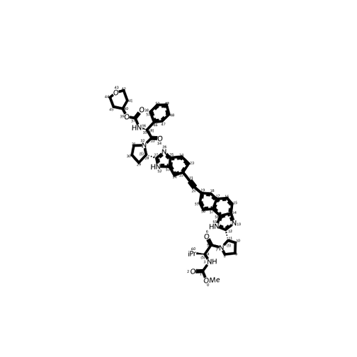 COC(=O)N[C@H](C(=O)N1CCC[C@H]1c1nc2ccc3cc(C#Cc4ccc5nc([C@@H]6CCCN6C(=O)[C@H](NC(=O)OC6CCOCC6)c6ccccc6)[nH]c5c4)ccc3c2[nH]1)C(C)C